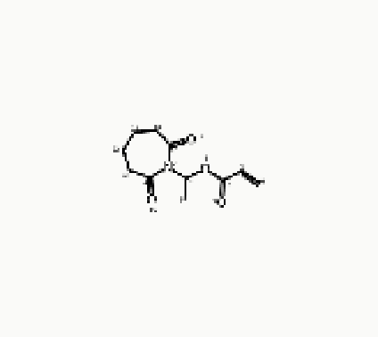 C=CC(=O)OC(C)N1C(=O)CCCCC1=O